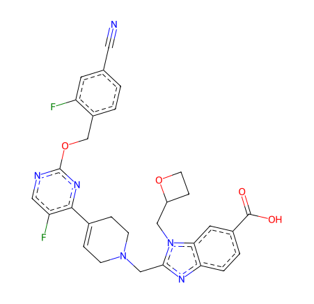 N#Cc1ccc(COc2ncc(F)c(C3=CCN(Cc4nc5ccc(C(=O)O)cc5n4CC4CCO4)CC3)n2)c(F)c1